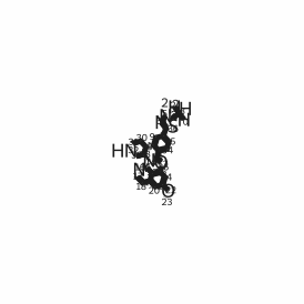 [2H]C([2H])([2H])c1nnc(-c2ccc(C(=O)N(c3nccc4cc(OC)cc(C)c34)[C@@H]3CCCNC3)cc2)s1